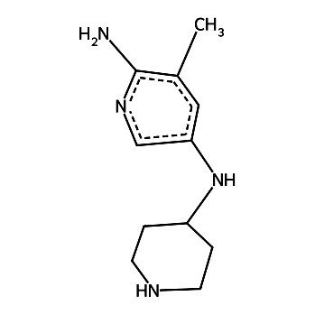 Cc1cc(NC2CCNCC2)cnc1N